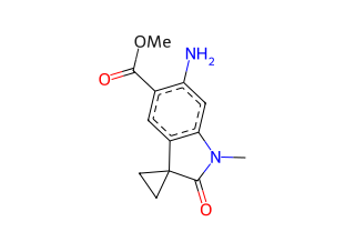 COC(=O)c1cc2c(cc1N)N(C)C(=O)C21CC1